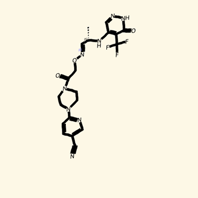 C[C@@H](/C=N/OCC(=O)N1CCN(c2ccc(C#N)cn2)CC1)Nc1cn[nH]c(=O)c1C(F)(F)F